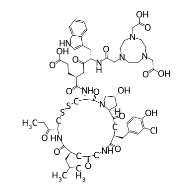 CCC(=O)[C@@H]1CSSC[C@H](NC(=O)[C@@H](CCC(=O)O)CC(=O)[C@H](Cc2c[nH]c3ccccc23)NC(=O)CN2CCN(CC(=O)O)CCN(CC(=O)O)CC2)C(=O)N2C[C@H](O)C[C@H]2C(=O)C[C@@H](Cc2ccc(O)c(Cl)c2)C(=O)NCC(=O)C[C@@H](CC(C)C)C(=O)N1